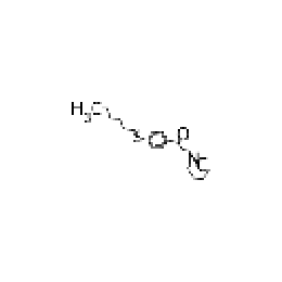 CCCCCCSc1ccc(C(=O)CCN2CCCCC2)cc1